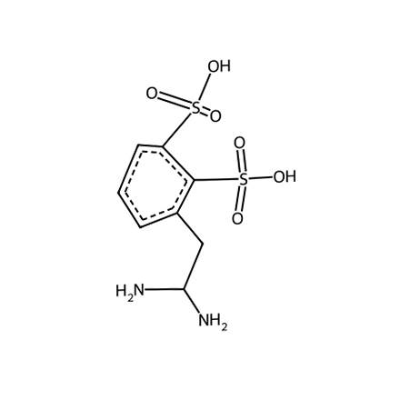 NC(N)Cc1cccc(S(=O)(=O)O)c1S(=O)(=O)O